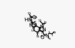 CCCN(C)C(=O)c1nn(C(C)C)c2c1C(C)Cc1nc(NC(C)=O)sc1-2